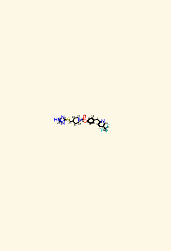 O=C(Oc1ccc(Cc2ccc(C(F)(F)F)cn2)cc1)N1CCC(CSc2nc[nH]n2)CC1